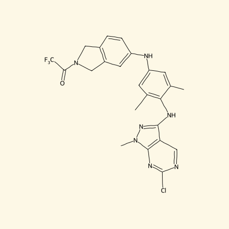 Cc1cc(Nc2ccc3c(c2)CN(C(=O)C(F)(F)F)C3)cc(C)c1Nc1nn(C)c2nc(Cl)ncc12